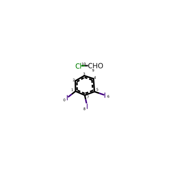 Ic1cccc(I)c1I.O=CCl